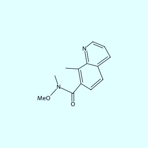 CON(C)C(=O)c1ccc2cccnc2c1C